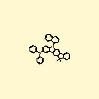 CC1(C)c2ccccc2-c2cc3c(cc21)c1cc(N(c2ccccc2)c2ccccc2)ccc1n3-c1cccc2ccccc12